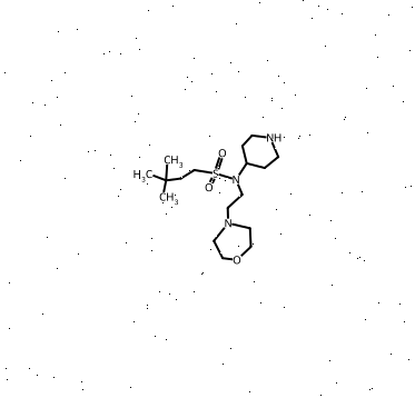 CC(C)(C)CCS(=O)(=O)N(CCN1CCOCC1)C1CCNCC1